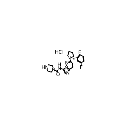 Cl.O=C(Nc1cnc2ccc(N3CCC[C@@H]3c3cc(F)ccc3F)nn12)N1CCNCC1